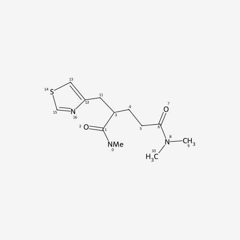 CNC(=O)C(CCC(=O)N(C)C)Cc1cscn1